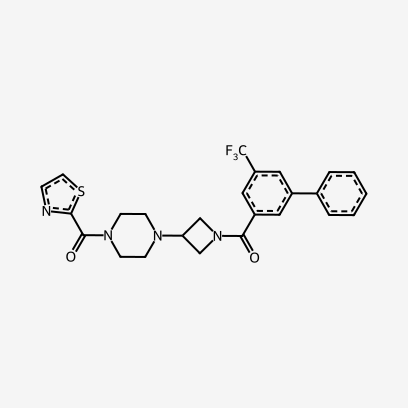 O=C(c1cc(-c2ccccc2)cc(C(F)(F)F)c1)N1CC(N2CCN(C(=O)c3nccs3)CC2)C1